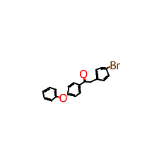 O=C(Cc1ccc(Br)cc1)c1ccc(Oc2ccccc2)cc1